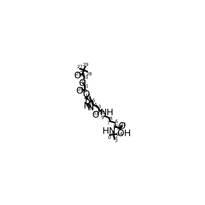 CC(C)(C)N[C@@H](CCCCNC(=O)Cc1cn(COC(=O)COCC(=O)C(C)(C)C)nn1)C(=O)O